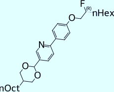 CCCCCCCCC1COC(c2ccc(-c3ccc(OC[C@H](F)CCCCCC)cc3)nc2)OC1